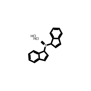 Cl.Cl.[CH2]=[Ti]([CH]1C=Cc2ccccc21)[CH]1C=Cc2ccccc21